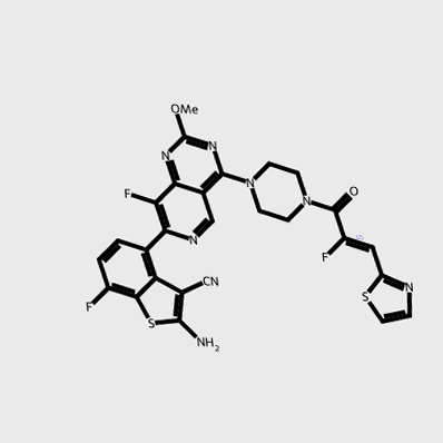 COc1nc(N2CCN(C(=O)/C(F)=C/c3nccs3)CC2)c2cnc(-c3ccc(F)c4sc(N)c(C#N)c34)c(F)c2n1